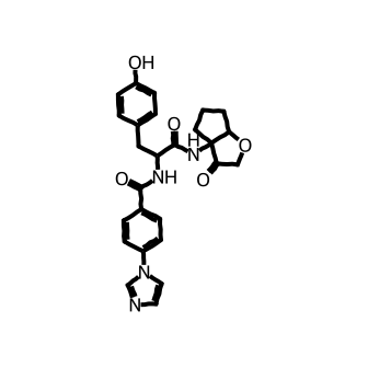 O=C(NC(Cc1ccc(O)cc1)C(=O)NC12CCCC1OCC2=O)c1ccc(-n2ccnc2)cc1